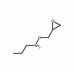 CCC[SiH2]OCC1CO1